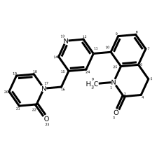 CN1C(=O)CCc2cccc(-c3cncc(Cn4ccccc4=O)c3)c21